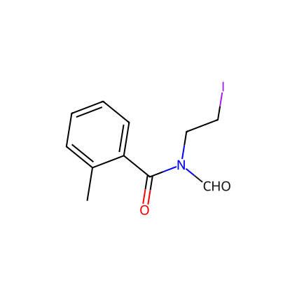 Cc1ccccc1C(=O)N(C=O)CCI